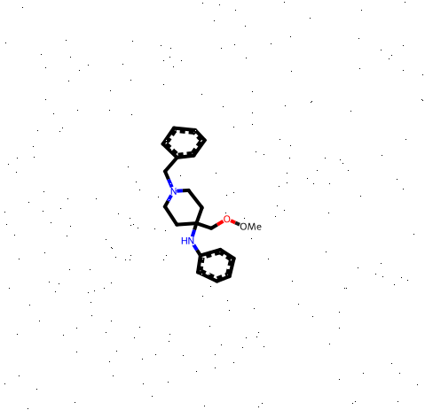 COOCC1(Nc2ccccc2)CCN(Cc2ccccc2)CC1